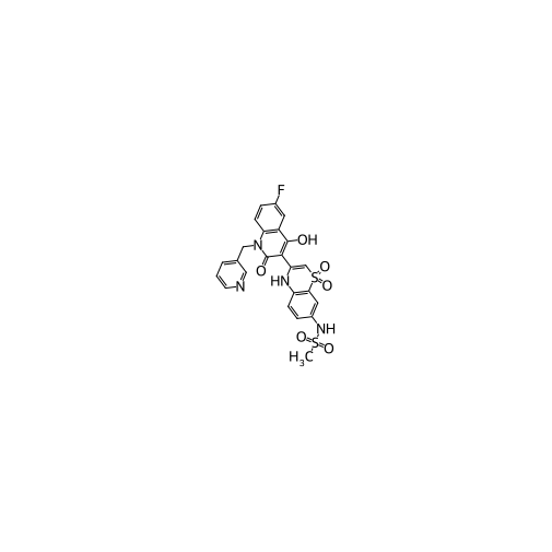 CS(=O)(=O)Nc1ccc2c(c1)S(=O)(=O)C=C(c1c(O)c3cc(F)ccc3n(Cc3cccnc3)c1=O)N2